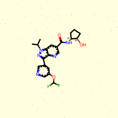 CC(C)n1nc(-c2cncc(OC(F)F)c2)c2ncc(C(=O)N[C@H]3CCC[C@H]3O)cc21